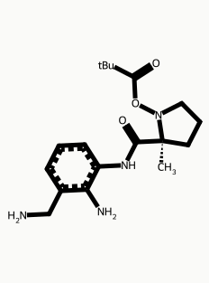 CC(C)(C)C(=O)ON1CCC[C@@]1(C)C(=O)Nc1cccc(CN)c1N